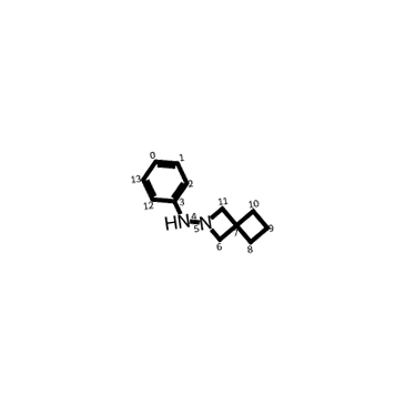 c1ccc(NN2CC3(CCC3)C2)cc1